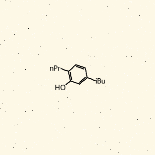 CCCc1ccc(C(C)CC)cc1O